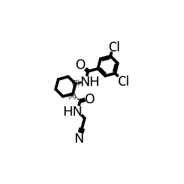 N#CCNC(=O)[C@@H]1CCCC[C@H]1NC(=O)c1cc(Cl)cc(Cl)c1